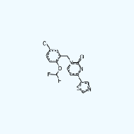 O=c1nc(-c2cncs2)ccn1Cc1cc(Cl)ccc1OC(F)F